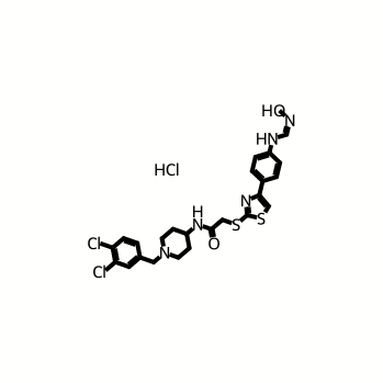 Cl.O=C(CSc1nc(-c2ccc(N/C=N\O)cc2)cs1)NC1CCN(Cc2ccc(Cl)c(Cl)c2)CC1